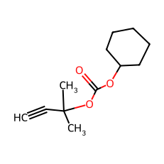 C#CC(C)(C)OC(=O)OC1CCCCC1